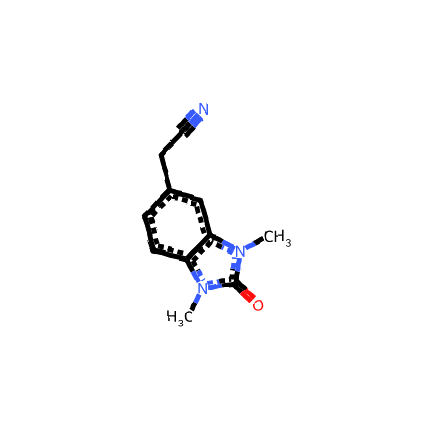 Cn1c(=O)n(C)c2cc(CC#N)ccc21